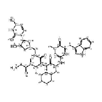 COC(=O)[C@H](Cc1c[nH]c2ccccc12)NC(=O)N[C@@H](CC1CCCCC1)C(=O)N[C@H](C(=O)NC[C@H]1C[C@@H](O)[C@H](N2C=CC(O)NC2=O)O1)[C@H](C)N(C)C(=O)CN